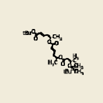 C[C@@H](C/C=C/C(=O)OC(C)(C)C)OC(=O)/C=C/C[C@H](C)OC(=O)C[C@H](C)O[Si](C)(C)C(C)(C)C